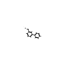 CC(C)(C)OC(=O)c1c(F)c(-c2c(F)c(F)c(C(=O)O)c(C(=O)O)c2F)c(F)c(F)c1C(=O)O